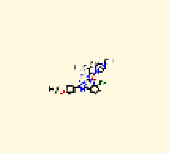 COc1ccc(-c2nc3c4cccc(Br)c4nc(N[C@@H](C(=O)N4CCN(C)CC4)C(C)C)n3n2)cc1